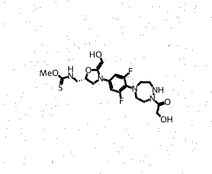 COC(=S)NC[C@H]1CN(c2cc(F)c(N3CCNN(C(=O)CO)CC3)c(F)c2)/C(=C/O)O1